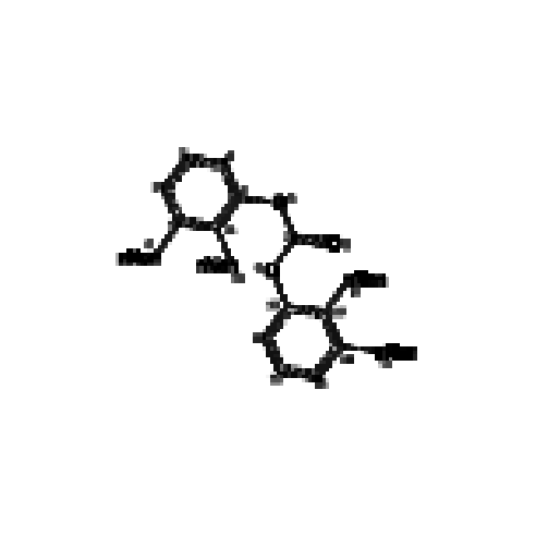 CCCCCCCCCc1cccc(OC(=O)Oc2cccc(CCCCCCCCC)c2CCCCCCCCC)c1CCCCCCCCC